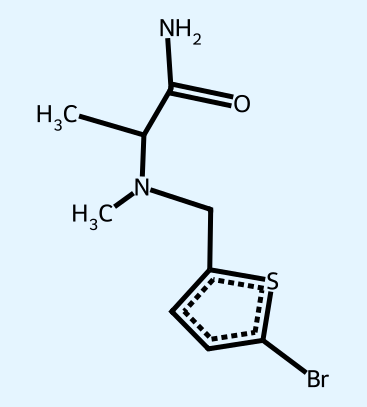 CC(C(N)=O)N(C)Cc1ccc(Br)s1